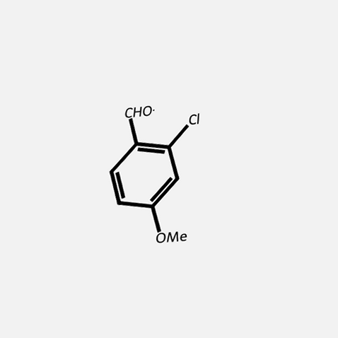 COc1ccc([C]=O)c(Cl)c1